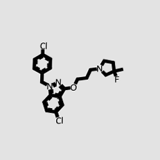 CC1(F)CCN(CCCOc2nn(Cc3ccc(Cl)cc3)c3ccc(Cl)cc23)C1